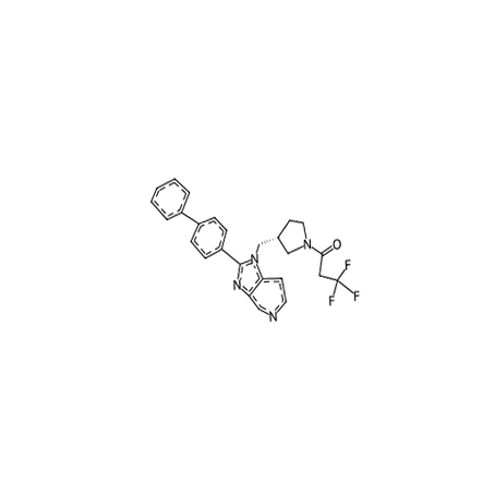 O=C(CC(F)(F)F)N1CC[C@@H](Cn2c(-c3ccc(-c4ccccc4)cc3)nc3cnccc32)C1